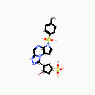 Cc1ccc(S(=O)(=O)n2ccc3c2ncc2nnc([C@H]4C[C@@H](S(=O)(=O)O)C[C@H]4I)n23)cc1